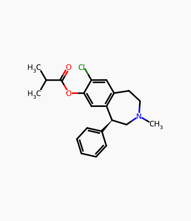 CC(C)C(=O)Oc1cc2c(cc1Cl)CCN(C)C[C@H]2c1ccccc1